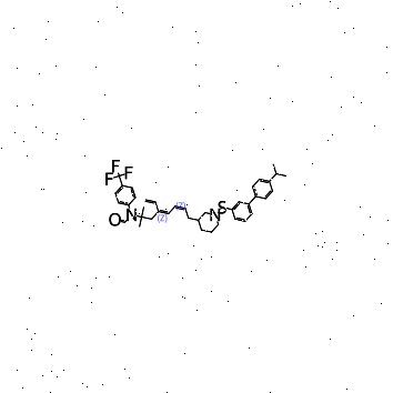 C=C/C(=C\C=C/CC1CCCN(Sc2cccc(-c3ccc(C(C)C)cc3)c2)C1)CC(C)(C)N(C=O)c1ccc(C(F)(F)F)cc1